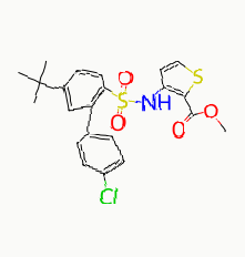 COC(=O)c1sccc1NS(=O)(=O)c1ccc(C(C)(C)C)cc1-c1ccc(Cl)cc1